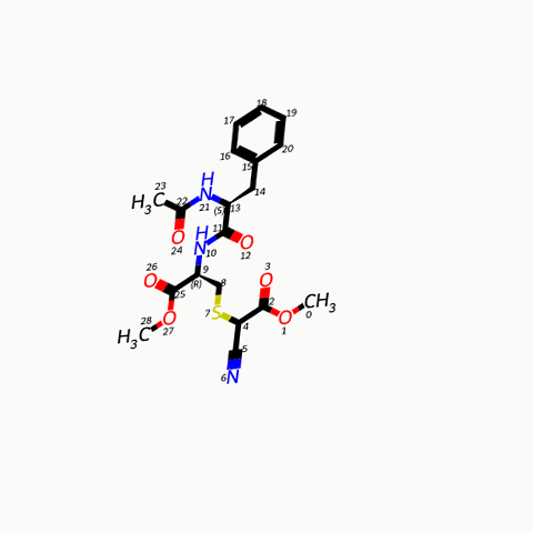 COC(=O)C(C#N)SC[C@H](NC(=O)[C@H](Cc1ccccc1)NC(C)=O)C(=O)OC